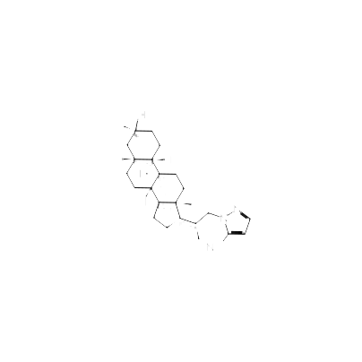 CC[C@@]1(O)CC[C@H]2[C@H](CC[C@@H]3[C@@H]2CC[C@]2(C)[C@@H]([C@H](C)Cn4nccc4C#N)CC[C@@H]32)C1